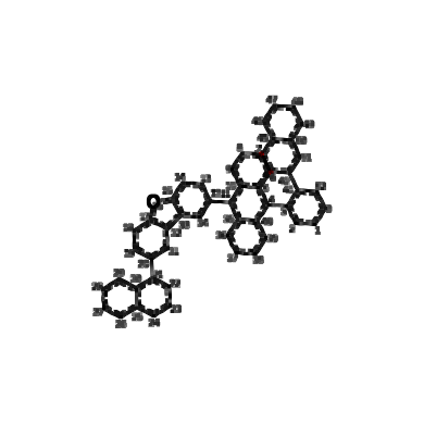 c1ccc(-c2c3ccccc3c(-c3ccc4oc5ccc(-c6cccc7ccccc67)cc5c4c3)c3ccccc23)c(-c2ccc3ccccc3c2)c1